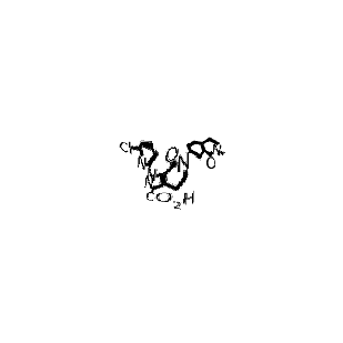 CN1CCc2ccc(N3CCc4c(C(=O)O)nn(-c5cccc(Cl)n5)c4C3=O)cc2C1=O